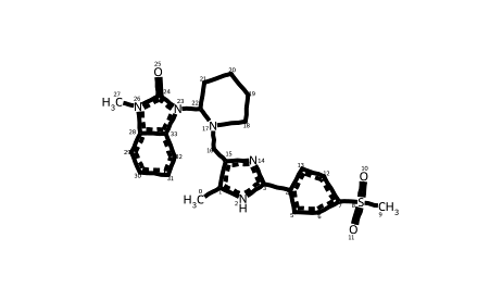 Cc1[nH]c(-c2ccc(S(C)(=O)=O)cc2)nc1CN1CCCCC1n1c(=O)n(C)c2ccccc21